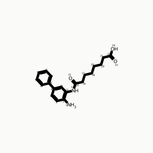 Nc1ccc(-c2ccccc2)cc1NC(=O)CCCCCCC(=O)O